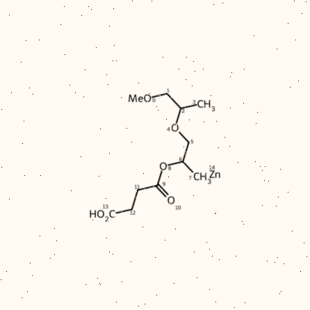 COCC(C)OCC(C)OC(=O)CCC(=O)O.[Zn]